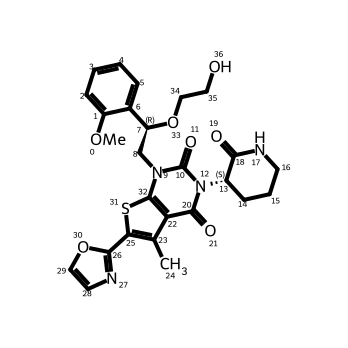 COc1ccccc1[C@H](Cn1c(=O)n([C@H]2CCCNC2=O)c(=O)c2c(C)c(-c3ncco3)sc21)OCCO